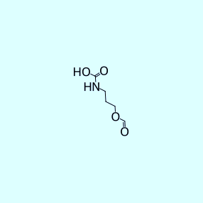 O=COCCCNC(=O)O